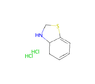 C1=CCC2NCSC2=C1.Cl.Cl